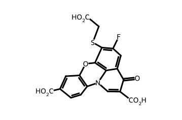 O=C(O)CSc1c(F)cc2c(=O)c(C(=O)O)cn3c2c1Oc1cc(C(=O)O)ccc1-3